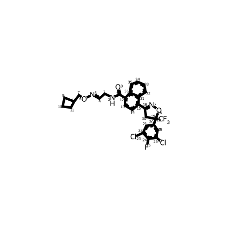 O=C(NC/C=N/OCC1CCC1)c1ccc(C2=NOC(c3cc(Cl)c(F)c(Cl)c3)(C(F)(F)F)C2)c2ccccc12